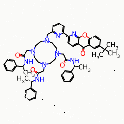 C[C@H](NC(=O)CN1CCN(CC(=O)N[C@@H](C)c2ccccc2)CCN(Cc2cccc(-c3ccc4c(=O)c5cc(C(C)(C)C)ccc5oc4n3)n2)CCN(CC(=O)N[C@@H](C)c2ccccc2)CC1)c1ccccc1